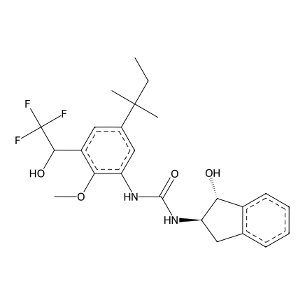 CCC(C)(C)c1cc(NC(=O)N[C@@H]2Cc3ccccc3[C@H]2O)c(OC)c(C(O)C(F)(F)F)c1